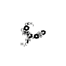 CCCNc1nc(NS(=O)(=O)c2ccc(OC)cc2Cl)ncc1Sc1ccc(S(=O)(=O)N2CCCCC2)cc1